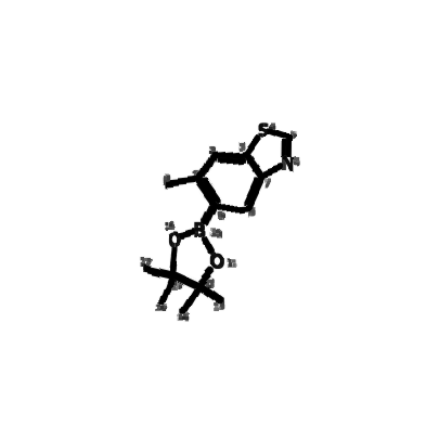 Cc1cc2scnc2cc1B1OC(C)(C)C(C)(C)O1